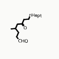 CCCCCCCCCC(=O)CC(C)CCC=O